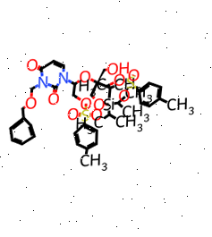 Cc1ccc(S(=O)(=O)OCC(O[C@@](CO)(CO[Si](C(C)C)(C(C)C)C(C)C)COS(=O)(=O)c2ccc(C)cc2)n2ccc(=O)n(COCc3ccccc3)c2=O)cc1